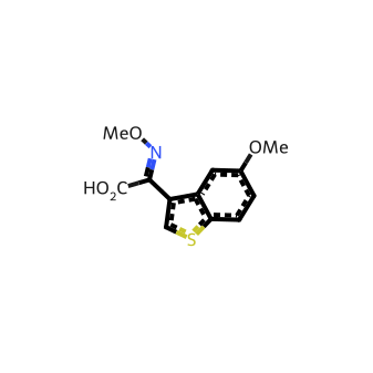 CON=C(C(=O)O)c1csc2ccc(OC)cc12